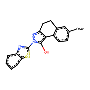 COc1ccc2c(c1)CCc1nn(-c3nc4ccccc4s3)c(O)c1-2